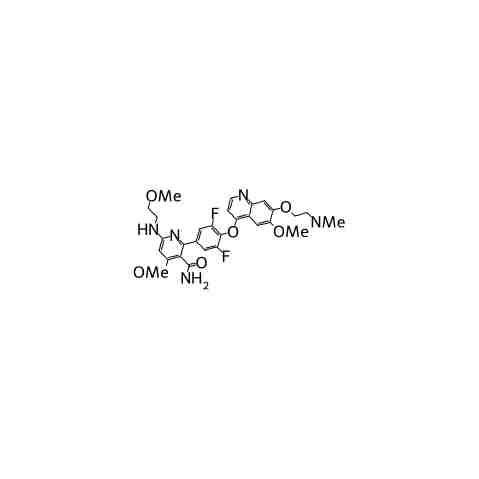 CNCCOc1cc2nccc(Oc3c(F)cc(-c4nc(NCCOC)cc(OC)c4C(N)=O)cc3F)c2cc1OC